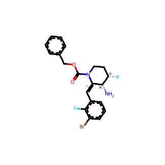 N[C@@H]1/C(=C\c2cccc(Br)c2F)N(C(=O)OCc2ccccc2)CC[C@@H]1F